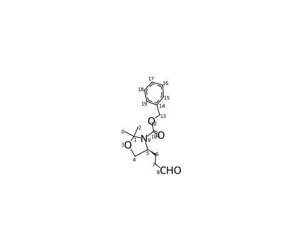 CC1(C)OC[C@H](CCC=O)N1C(=O)OCc1ccccc1